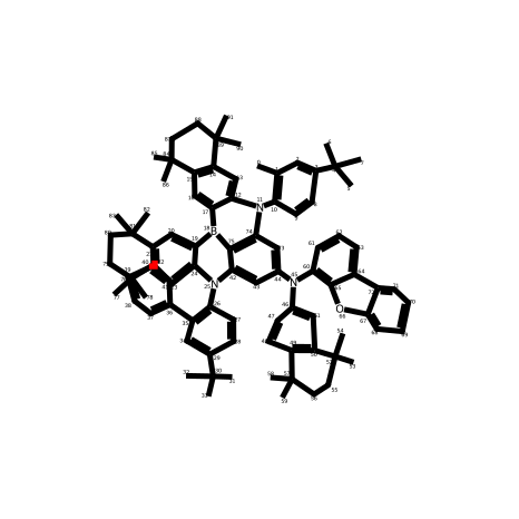 Cc1cc(C(C)(C)C)ccc1N1c2cc3c(cc2B2c4cc5c(cc4N(c4ccc(C(C)(C)C)cc4-c4ccccc4)c4cc(N(c6ccc7c(c6)C(C)(C)CCC7(C)C)c6cccc7c6oc6ccccc67)cc1c42)C(C)(C)CCC5(C)C)C(C)(C)CCC3(C)C